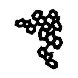 c1ccc2c(c1)sc1c(-c3c4ccccc4c(-c4ccc5sc6cccc(-c7c8ccccc8c(-c8cccc9c8sc8ccccc89)c8ccccc78)c6c5c4)c4ccccc34)cccc12